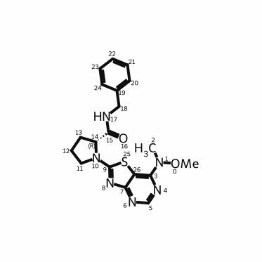 CON(C)c1ncnc2nc(N3CCC[C@@H]3C(=O)NCc3ccccc3)sc12